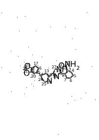 NC(=O)c1ccccc1-c1nc(-c2cc(-c3ccc4c(c3)OCO4)ccn2)c[nH]1